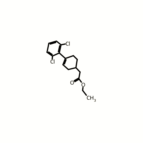 CCOC(=O)CC1CC=C(c2c(Cl)cccc2Cl)CC1